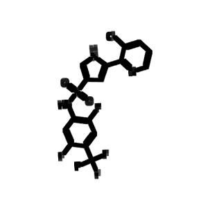 O=S(=O)(Nc1cc(F)c(C(F)(F)F)cc1F)c1c[nH]c(-c2ncccc2Cl)c1